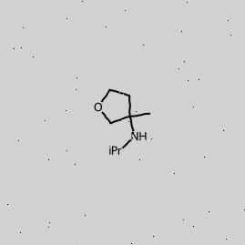 CC(C)NC1(C)CCOC1